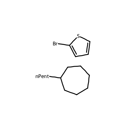 Brc1cccs1.CCCCCC1CCCCCC1